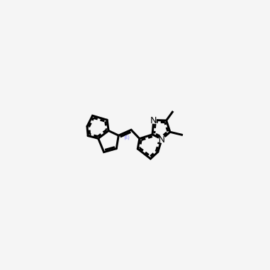 Cc1nc2c(/C=C3\C=Cc4ccccc43)cccn2c1C